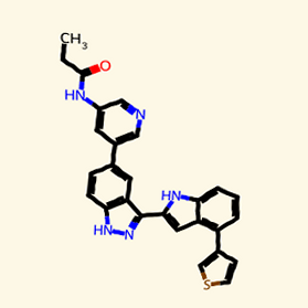 CCC(=O)Nc1cncc(-c2ccc3[nH]nc(-c4cc5c(-c6ccsc6)cccc5[nH]4)c3c2)c1